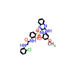 COc1cc(O)cc(Nc2nc3ccccc3nc2NS(=O)(=O)c2cccc(NC(=O)CNc3ccccc3Cl)c2)c1